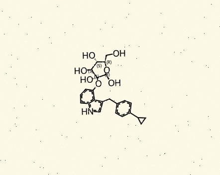 OC[C@H]1O[C@@H](O)[C@@](O)(Oc2cccc3[nH]cc(Cc4ccc(C5CC5)cc4)c23)[C@@H](O)[C@@H]1O